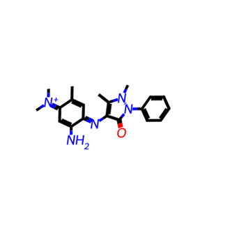 CC1=C/C(=N\c2c(C)n(C)n(-c3ccccc3)c2=O)C(N)=CC1=[N+](C)C